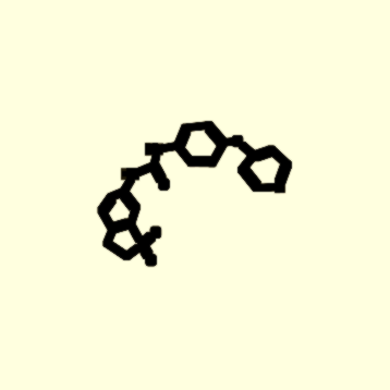 O=C(Nc1ccc(Oc2ccncc2)cc1)Nc1ccc2c(c1)S(=O)(=O)CC2